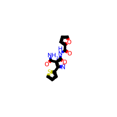 NC(=O)c1c(-c2cccs2)noc1NC(=O)c1ccco1